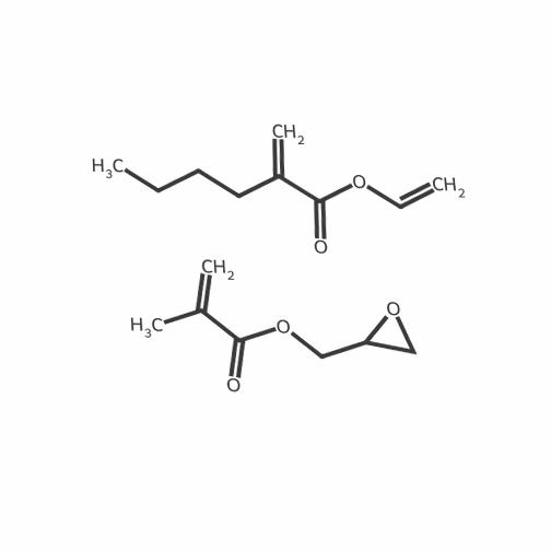 C=C(C)C(=O)OCC1CO1.C=COC(=O)C(=C)CCCC